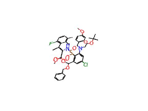 COC(=O)[C@@H](NS(=O)(=O)c1c(C(C)OCc2ccccc2)cc(Cl)cc1N(CC(=O)OC(C)(C)C)Cc1ccc(OC)cc1)C(C)c1c(F)ccc(C)c1C